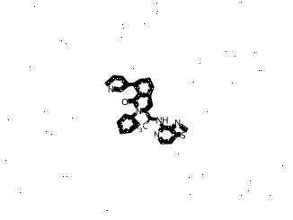 C[C@H](Nc1nccc2scnc12)c1cc2cccc(-c3cccnc3)c2c(=O)n1-c1ccccc1